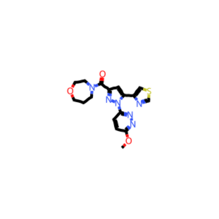 COc1ccc(-n2nc(C(=O)N3CCCOCC3)cc2-c2cscn2)nn1